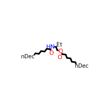 CCCCCCCCCCCCCCCC(=O)N[C@@H](CC)COC(=O)CCCCCCCCCCCCCCC